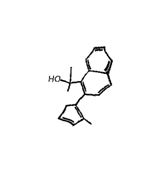 CC1=C(c2ccc3ccccc3c2C(C)(C)O)CC=C1